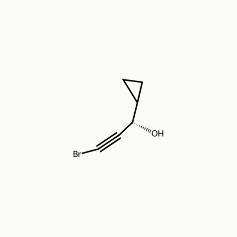 O[C@H](C#CBr)C1CC1